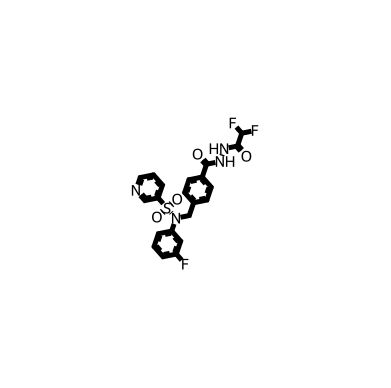 O=C(NNC(=O)C(F)F)c1ccc(CN(c2cccc(F)c2)S(=O)(=O)c2cccnc2)cc1